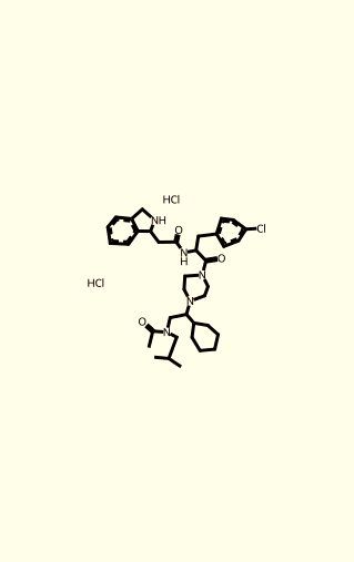 CC(=O)N(CC(C)C)CC(C1CCCCC1)N1CCN(C(=O)C(Cc2ccc(Cl)cc2)NC(=O)CC2NCc3ccccc32)CC1.Cl.Cl